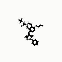 CCCOc1ccc(/C=C2/C(=O)NN(c3ccccc3)C2=O)c2c1CCN(C(=O)OC(C)(C)C)C2